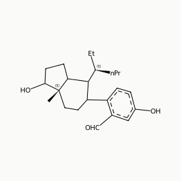 CCC[C@H](CC)C1C(c2ccc(O)cc2C=O)CC[C@]2(C)C(O)CCC12